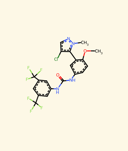 COc1ccc(NC(=O)Nc2cc(C(F)(F)F)cc(C(F)(F)F)c2)cc1-c1c(Cl)cnn1C